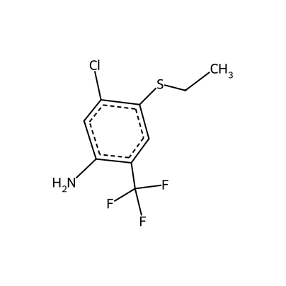 CCSc1cc(C(F)(F)F)c(N)cc1Cl